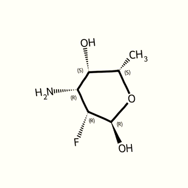 C[C@@H]1O[C@@H](O)[C@H](F)[C@H](N)[C@@H]1O